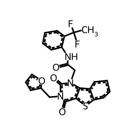 CC(F)(F)c1ccccc1NC(=O)Cn1c(=O)n(Cc2ccco2)c(=O)c2sc3ccccc3c21